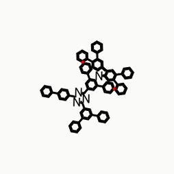 c1ccc(-c2ccc(-c3nc(-c4cc(-c5ccccc5)cc(-c5ccccc5)c4)nc(-c4cc(-c5ccccc5)c(-n5c6cc(-c7ccccc7)c(-c7ccccc7)cc6c6cc(-c7ccccc7)c(-c7ccccc7)cc65)c(-c5ccccc5)c4)n3)cc2)cc1